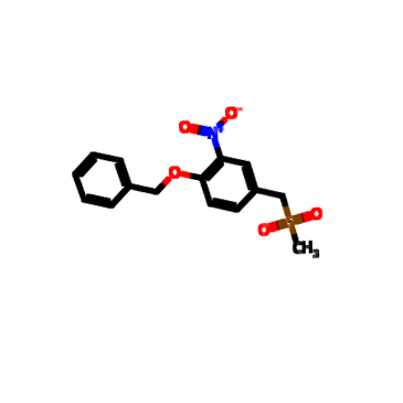 CS(=O)(=O)Cc1ccc(OCc2ccccc2)c([N+](=O)[O-])c1